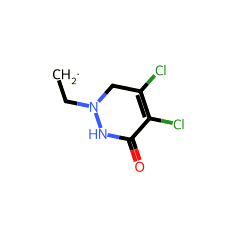 [CH2]CN1CC(Cl)=C(Cl)C(=O)N1